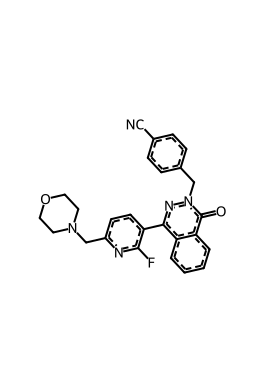 N#Cc1ccc(Cn2nc(-c3ccc(CN4CCOCC4)nc3F)c3ccccc3c2=O)cc1